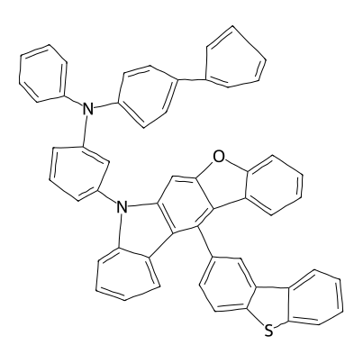 c1ccc(-c2ccc(N(c3ccccc3)c3cccc(-n4c5ccccc5c5c(-c6ccc7sc8ccccc8c7c6)c6c(cc54)oc4ccccc46)c3)cc2)cc1